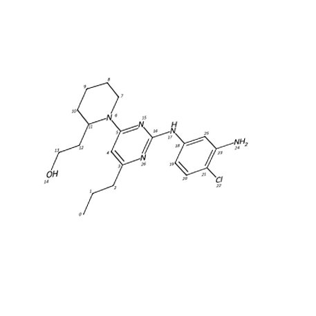 CCCc1cc(N2CCCCC2CCO)nc(Nc2ccc(Cl)c(N)c2)n1